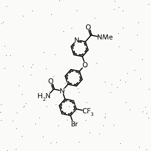 CNC(=O)c1cc(Oc2ccc(N(C(N)=O)c3ccc(Br)c(C(F)(F)F)c3)cc2)ccn1